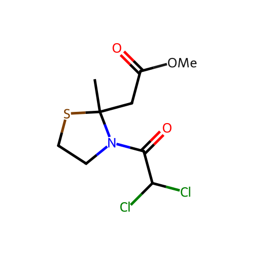 COC(=O)CC1(C)SCCN1C(=O)C(Cl)Cl